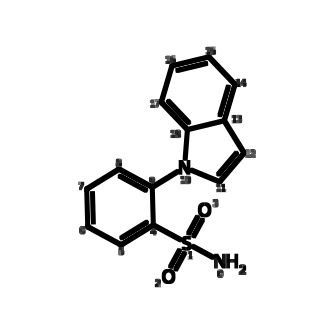 NS(=O)(=O)c1ccccc1-n1ccc2ccccc21